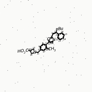 CCCCC(=Cc1nnc(-c2ccc(CN3CC(C(=O)O)C3)cc2C)o1)c1ccccc1